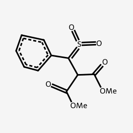 COC(=O)C(C(=O)OC)C(c1ccccc1)=S(=O)=O